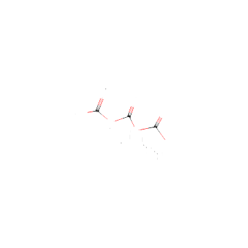 O=C([O-])OC(=O)OC(=O)[O-].[LiH].[LiH].[Na+].[Na+]